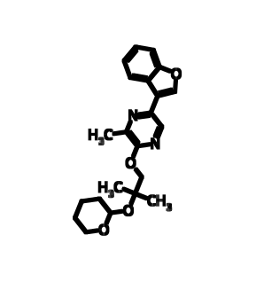 Cc1nc(-c2coc3ccccc23)cnc1OCC(C)(C)OC1CCCCO1